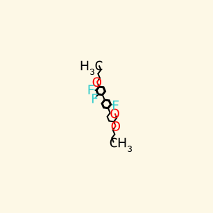 CCCCOc1ccc(-c2ccc(C3CCC(OCCCC)CO3)c(F)c2)c(F)c1F